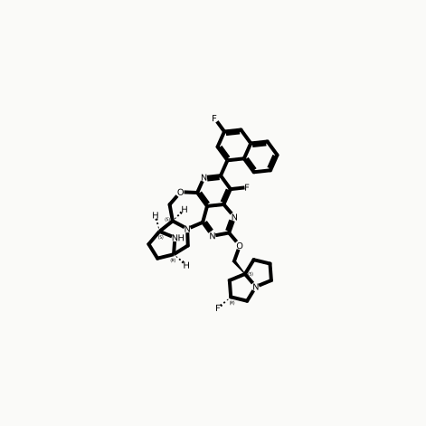 Fc1cc(-c2nc3c4c(nc(OC[C@@]56CCCN5C[C@H](F)C6)nc4c2F)N2C[C@H]4CC[C@H](N4)[C@H]2CO3)c2ccccc2c1